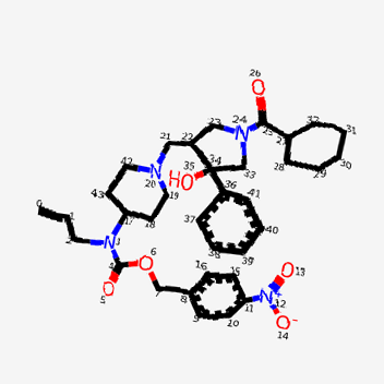 C=CCN(C(=O)OCc1ccc([N+](=O)[O-])cc1)C1CCN(CC2CN(C(=O)C3CCCCC3)CC2(O)c2ccccc2)CC1